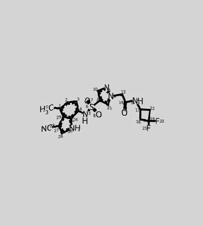 Cc1ccc(NS(=O)(=O)c2cnn(CC(=O)NC3CC(F)(F)C3)c2)c2[nH]cc(C#N)c12